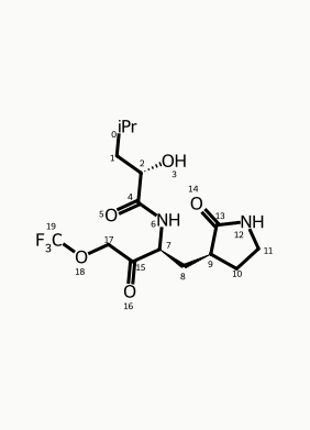 CC(C)C[C@H](O)C(=O)N[C@@H](C[C@@H]1CCNC1=O)C(=O)COC(F)(F)F